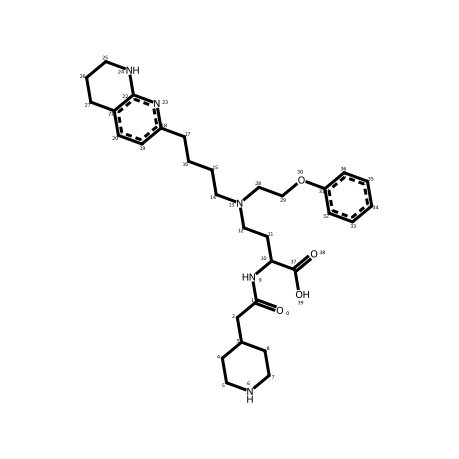 O=C(CC1CCNCC1)NC(CCN(CCCCc1ccc2c(n1)NCCC2)CCOc1ccccc1)C(=O)O